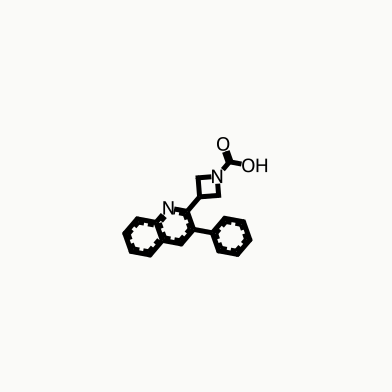 O=C(O)N1CC(c2nc3ccccc3cc2-c2ccccc2)C1